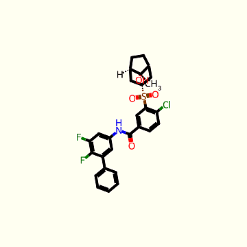 C[C@]1(O)C2CC[C@@H]1C[C@@H](S(=O)(=O)c1cc(C(=O)Nc3cc(F)c(F)c(-c4ccccc4)c3)ccc1Cl)C2